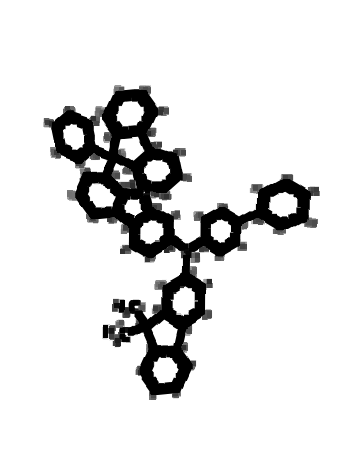 CC1(C)c2ccccc2-c2ccc(N(c3ccc(-c4ccccc4)cc3)c3ccc4c(c3)oc3c(C5(c6ccccc6)c6ccccc6-c6ccccc65)cccc34)cc21